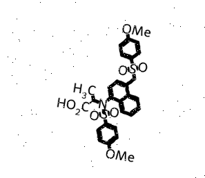 COc1ccc(S(=O)(=O)Cc2ccc(N([C@@H](C)C(=O)O)S(=O)(=O)c3ccc(OC)cc3)c3ccccc23)cc1